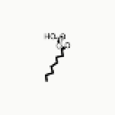 CCCCCCCC(=O)[O][Ti](=[O])[OH]